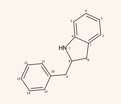 [C]1c2ccccc2NC1Cc1ccccc1